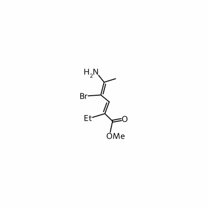 CC/C(=C\C(Br)=C(/C)N)C(=O)OC